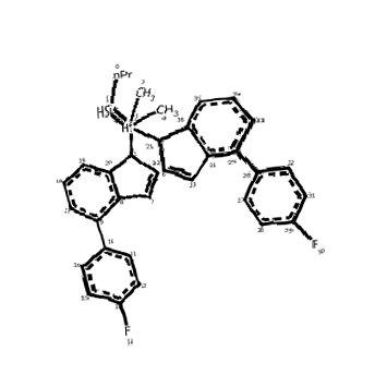 CCC[SiH]=[Hf]([CH3])([CH3])([CH]1C=Cc2c(-c3ccc(F)cc3)cccc21)[CH]1C=Cc2c(-c3ccc(F)cc3)cccc21